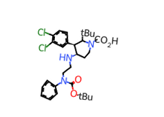 CC(C)(C)OC(=O)N(CCN[C@@H]1CCN(C(=O)O)C(C(C)(C)C)[C@@H]1c1ccc(Cl)c(Cl)c1)c1ccccc1